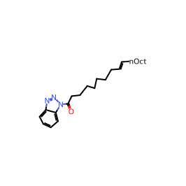 CCCCCCCC/C=C/CCCCCCCC(=O)n1nnc2ccccc21